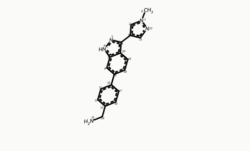 Cn1cc(-c2n[nH]c3cc(-c4ccc(CN)cc4)ccc23)cn1